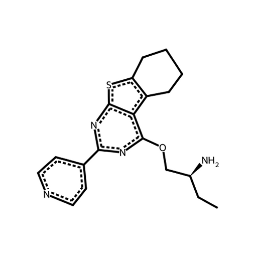 CC[C@H](N)COc1nc(-c2ccncc2)nc2sc3c(c12)CCCC3